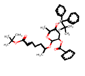 CC(CC/C=C/C(=O)OC(C)(C)C)OC1OC(C)C(O[Si](c2ccccc2)(c2ccccc2)C(C)(C)C)CC1OC(=O)c1ccccc1